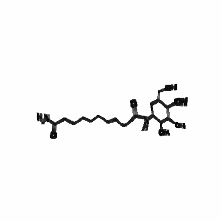 NC(=O)CCCCCCCCC(=O)NC1CC(CO)C(O)C(O)C1O